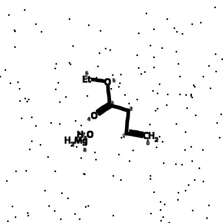 C=CCC(=O)OCC.O.[MgH2]